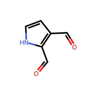 O=Cc1cc[nH]c1C=O